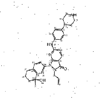 C=CCn1c(=O)c2cnc(Nc3ccc(N4CCNCC4)cc3)nc2n1-c1ccc2c(n1)C(C)(O)CCC2